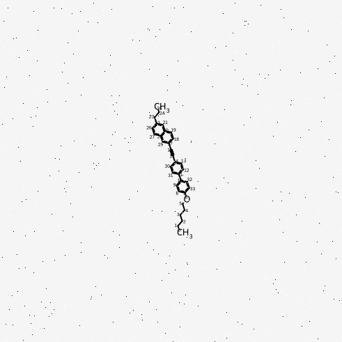 CCCCCCOc1ccc(-c2ccc(C#Cc3ccc4cc(CCC)ccc4c3)cc2)cc1